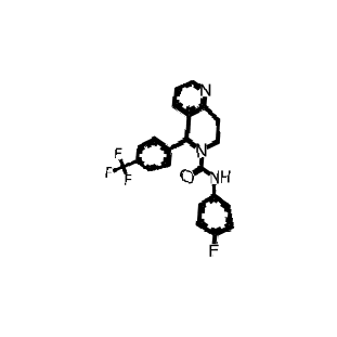 O=C(Nc1ccc(F)cc1)N1CCc2ncccc2C1c1ccc(C(F)(F)F)cc1